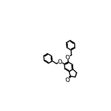 O=C1CCc2cc(OCc3ccccc3)c(OCc3ccccc3)cc21